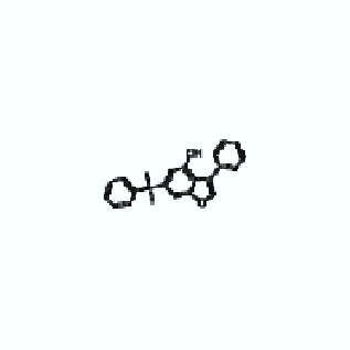 CC(C)(c1ccccc1)c1cc(O)c2c(-c3ccccc3)coc2c1